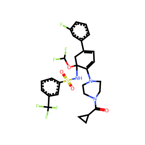 O=C(C1CC1)N1CCN(C2=CC=C(c3cccc(F)c3)CC2(NS(=O)(=O)c2cccc(C(F)(F)F)c2)OC(F)F)CC1